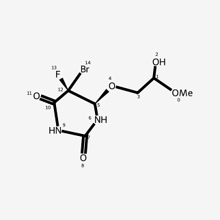 COC(O)CO[C@H]1NC(=O)NC(=O)[C@]1(F)Br